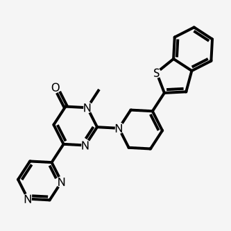 Cn1c(N2CCC=C(c3cc4ccccc4s3)C2)nc(-c2ccncn2)cc1=O